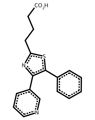 O=C(O)CCCc1nc(-c2cccnc2)c(-c2ccccc2)s1